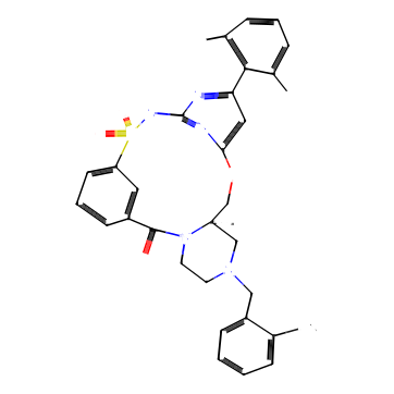 Cc1cccc(C)c1-c1cc2nc(n1)NS(=O)(=O)c1cccc(c1)C(=O)N1CCN(Cc3ccccc3C#N)C[C@@H]1CO2